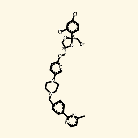 Cc1ccnc(-c2ccc(CN3CCN(c4ccc(OC[C@@H]5CO[C@](CBr)(c6ccc(Cl)cc6Cl)O5)cc4)CC3)cc2)n1